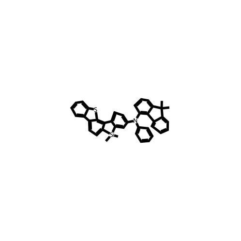 CC1(C)c2ccccc2-c2c(N(c3ccccc3)c3ccc4c(c3)[Si](C)(C)c3ccc5c(sc6ccccc65)c3-4)cccc21